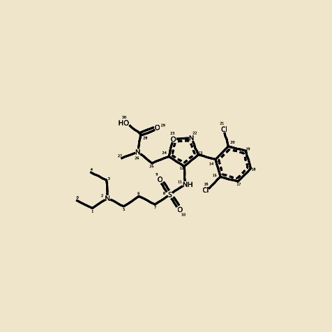 CCN(CC)CCCS(=O)(=O)Nc1c(-c2c(Cl)cccc2Cl)noc1CN(C)C(=O)O